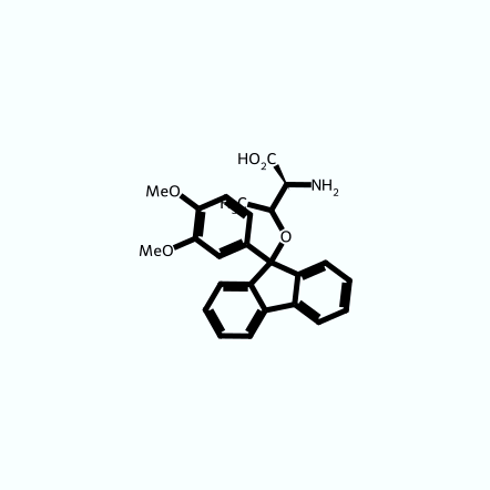 COc1ccc(C2(OC(C)[C@H](N)C(=O)O)c3ccccc3-c3ccccc32)cc1OC